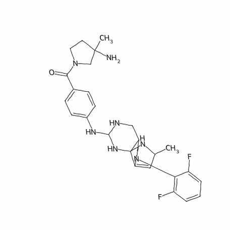 CC1C=C2CN(c3c(F)cccc3F)CCC3CNC(Nc4ccc(C(=O)N5CCC(C)(N)C5)cc4)NC23N1